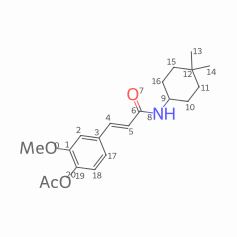 COc1cc(/C=C/C(=O)NC2CCC(C)(C)CC2)ccc1OC(C)=O